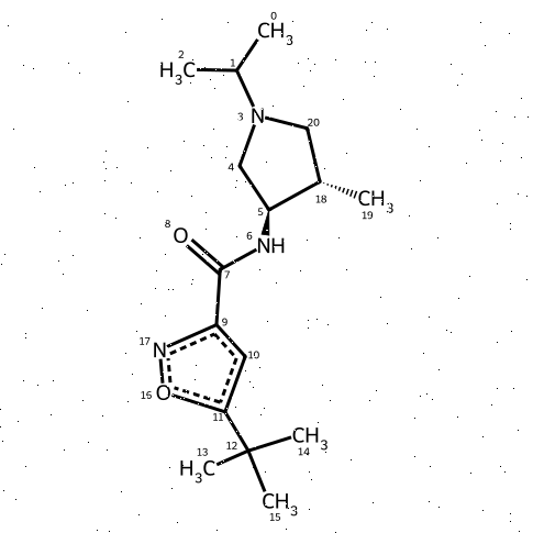 CC(C)N1C[C@H](NC(=O)c2cc(C(C)(C)C)on2)[C@@H](C)C1